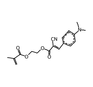 C=C(C)C(=O)OCCOC(=O)/C(C#N)=C/c1ccc(N(C)C)cc1